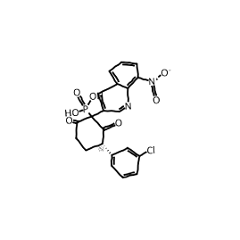 O=C1CC[C@@H](c2cccc(Cl)c2)C(=O)C1(c1cnc2c([N+](=O)[O-])cccc2c1)P(=O)(O)O